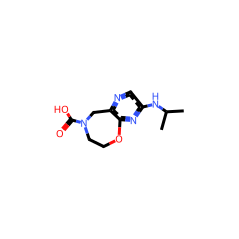 CC(C)Nc1cnc2c(n1)OCCN(C(=O)O)C2